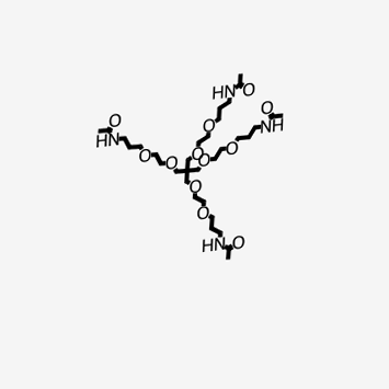 CC(=O)NCCCOCCOCC(COCCOCCCNC(C)=O)(COCCOCCCNC(C)=O)COCCOCCCNC(C)=O